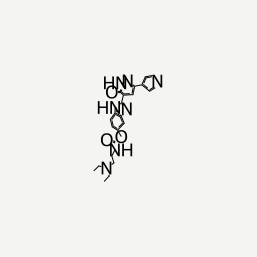 CCN(CC)CCNC(=O)Oc1ccc2[nH]c(-c3cc(-c4ccncc4)n[nH]c3=O)nc2c1